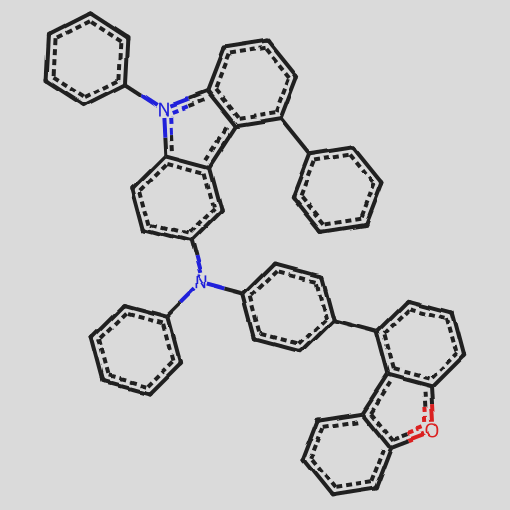 c1ccc(-c2cccc3c2c2cc(N(c4ccccc4)c4ccc(-c5cccc6oc7ccccc7c56)cc4)ccc2n3-c2ccccc2)cc1